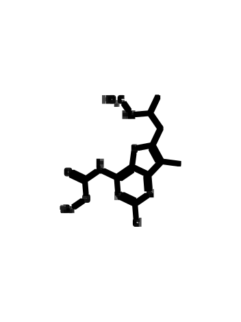 Cc1c(CC(C)NC(=O)O)sc2c(NC(=O)OC(C)(C)C)nc(Cl)nc12